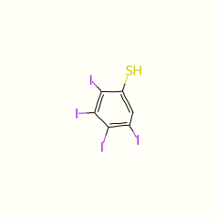 Sc1cc(I)c(I)c(I)c1I